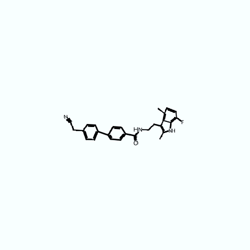 Cc1[nH]c2c(F)ccc(C)c2c1CCNC(=O)c1ccc(-c2ccc(CC#N)cc2)cc1